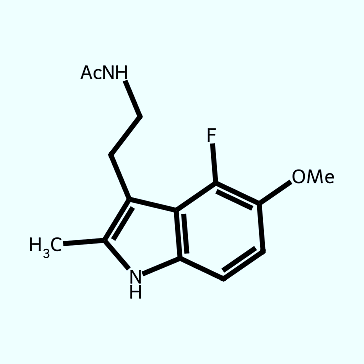 COc1ccc2[nH]c(C)c(CCNC(C)=O)c2c1F